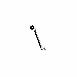 CCCCCCCCCCCCCCOc1ccccc1